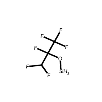 FC(F)C(F)(O[SiH3])C(F)(F)F